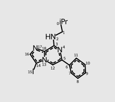 CC(C)CNc1nc(-c2ccccc2)cn2c(I)cnc12